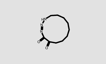 O=C1CCCCCCCCNN=NC1=O